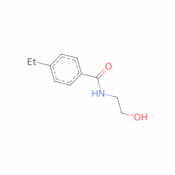 [CH2]Cc1ccc(C(=O)NCCO)cc1